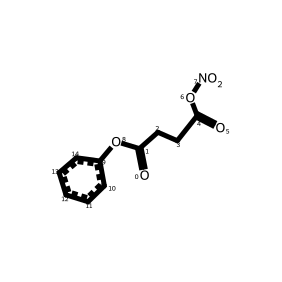 O=C(CCC(=O)O[N+](=O)[O-])Oc1ccccc1